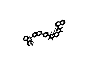 Cc1c(-c2ccc(-c3ccc4ccc(-n5c6ccccc6c6ccncc65)cc4c3)cc2)nc2c(ccc3c(C)c(C)c(-c4cccc5ccccc45)nc32)c1C